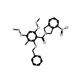 Cc1c(OSI)cc(OSI)c(C(=O)N2Cc3cccc([N+](=O)[O-])c3C2)c1OCc1ccccc1